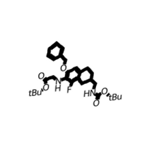 CC(C)(C)OC(=O)CNc1c(OCc2ccccc2)cc2c(c1F)CC(CNC(=O)OC(C)(C)C)CC2